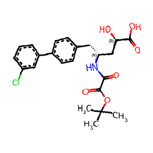 CC(C)(C)OC(=O)C(=O)N[C@H](Cc1ccc(-c2cccc(Cl)c2)cc1)C[C@@H](O)C(=O)O